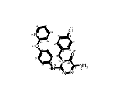 Nc1nnc(Nc2ccc(Oc3ccccn3)cc2)n(Cc2ccc(Cl)cc2)c1=O